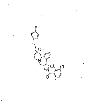 O=C(c1cccc(Cl)c1Cl)N1CC(CN2CCC(O)(CCCc3ccc(F)cc3)CC2)C(c2ccsc2)C1